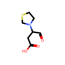 O=CC(CC(=O)O)N1CCSC1